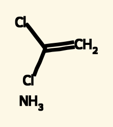 C=C(Cl)Cl.N